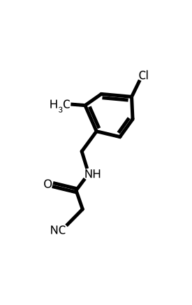 Cc1cc(Cl)ccc1CNC(=O)CC#N